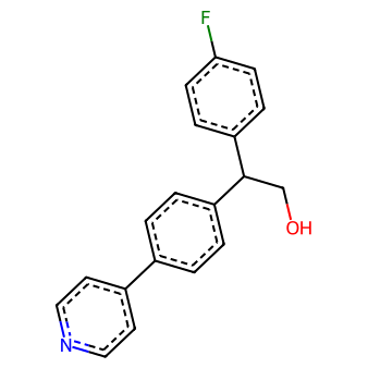 OCC(c1ccc(F)cc1)c1ccc(-c2ccncc2)cc1